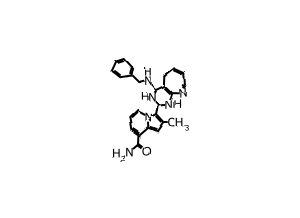 Cc1cc2c(C(N)=O)cccn2c1C1NC2=C(CC=CC=N2)C(NCc2ccccc2)N1